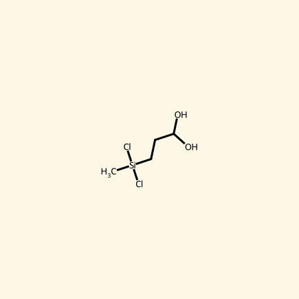 C[Si](Cl)(Cl)CCC(O)O